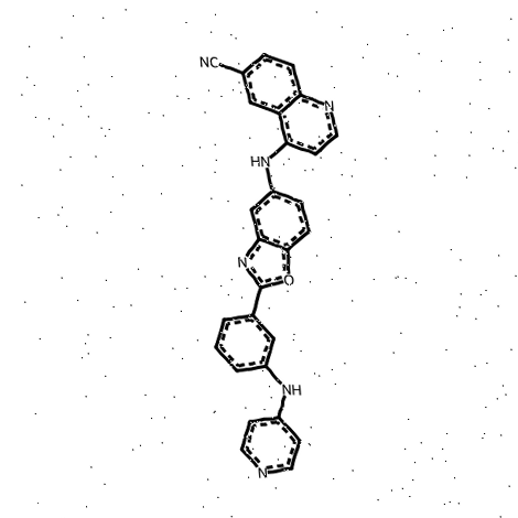 N#Cc1ccc2nccc(Nc3ccc4oc(-c5cccc(Nc6ccncc6)c5)nc4c3)c2c1